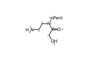 CCCCCN(CCN)C(=O)CO